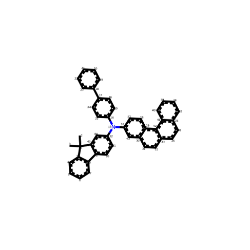 CC1(C)c2ccccc2-c2ccc(N(c3ccc(-c4ccccc4)cc3)c3ccc4c(ccc5ccc6ccccc6c54)c3)cc21